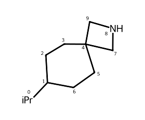 CC(C)C1CCC2(CC1)CNC2